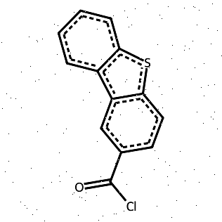 O=C(Cl)c1ccc2sc3ccccc3c2c1